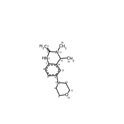 C=C1Nc2ccc(N3CCOCC3)cc2C(C)N1C